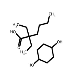 CCCCC(CC)(CC)C(=O)O.OC1CCC(O)CC1